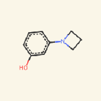 Oc1cccc(N2CCC2)c1